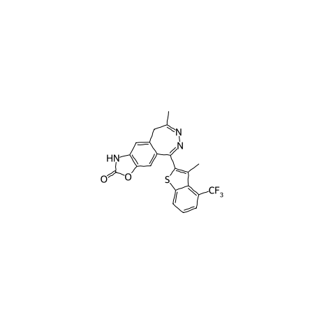 CC1=NN=C(c2sc3cccc(C(F)(F)F)c3c2C)c2cc3oc(=O)[nH]c3cc2C1